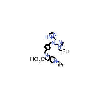 CC(C)CN1CCC2(CC1)CC(C(=O)O)N(Cc1ccc(CN(Cc3ncc[nH]3)Cc3nccn3CC(C)(C)C)cc1)C2